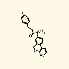 CN(C(=O)CCc1ccc(F)cc1)c1ccc2c(c1)COc1cnccc1-2